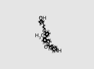 Cc1c(OCCCN2CCC(O)C2)cccc1-c1cccc2c1CCN2C(=O)c1cn2c(n1)CNCC2